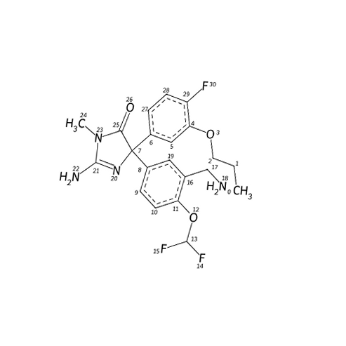 CCCOc1cc(C2(c3ccc(OC(F)F)c(CN)c3)N=C(N)N(C)C2=O)ccc1F